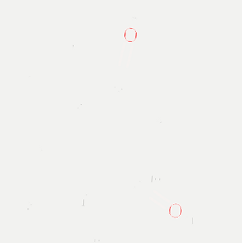 CC1(C)CC(C)(C)C(=O)CC1=O